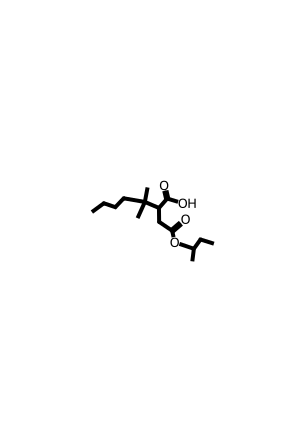 CCCCC(C)(C)C(CC(=O)OC(C)CC)C(=O)O